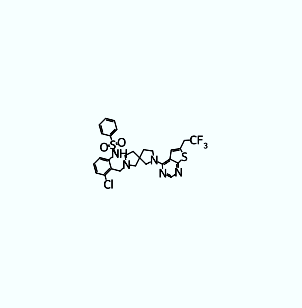 O=S(=O)(Nc1cccc(Cl)c1CN1CCC2(CCN(c3ncnc4sc(CC(F)(F)F)cc34)C2)C1)c1ccccc1